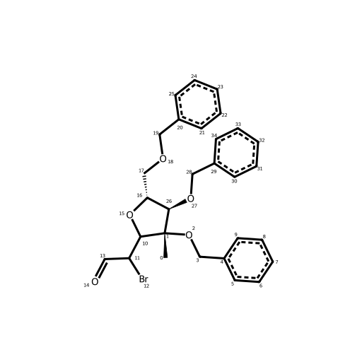 C[C@@]1(OCc2ccccc2)C(C(Br)C=O)O[C@H](COCc2ccccc2)[C@H]1OCc1ccccc1